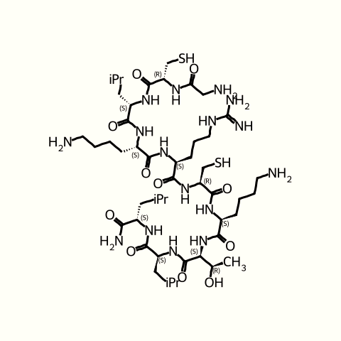 CC(C)C[C@H](NC(=O)[C@H](CC(C)C)NC(=O)[C@@H](NC(=O)[C@H](CCCCN)NC(=O)[C@H](CS)NC(=O)[C@H](CCCNC(=N)N)NC(=O)[C@H](CCCCN)NC(=O)[C@H](CC(C)C)NC(=O)[C@H](CS)NC(=O)CN)[C@@H](C)O)C(N)=O